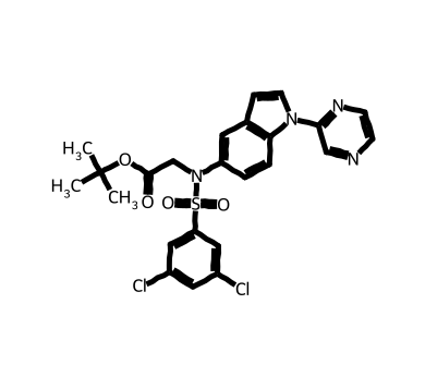 CC(C)(C)OC(=O)CN(c1ccc2c(ccn2-c2cnccn2)c1)S(=O)(=O)c1cc(Cl)cc(Cl)c1